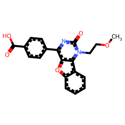 COCCn1c(=O)nc(-c2ccc(C(=O)O)cc2)c2oc3ccccc3c21